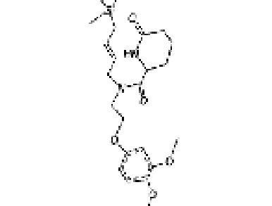 COc1ccc(OCCN(CC=CC[Si](C)(C)C)C(=O)C2CCCC(=O)N2)cc1OC